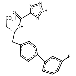 O=C(O)C[C@@H](Cc1ccc(-c2cccc(F)c2)cc1)NC(=O)c1nn[nH]n1